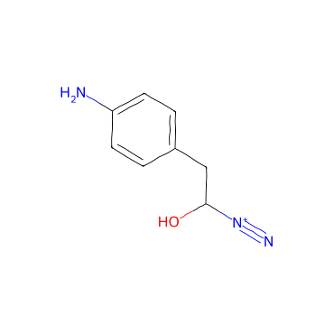 N#[N+]C(O)Cc1ccc(N)cc1